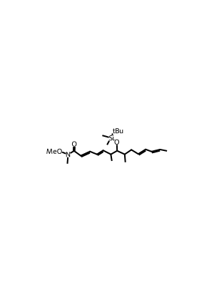 CC=CC=CCC(C)C(O[Si](C)(C)C(C)(C)C)C(C)C=CC=CC(=O)N(C)OC